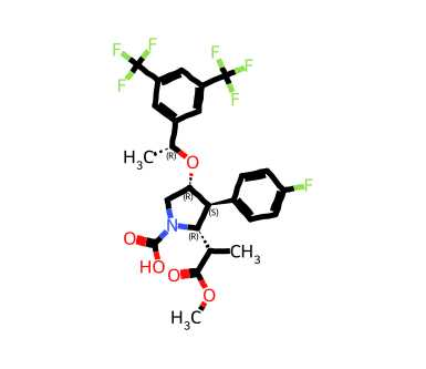 COC(=O)C(C)[C@H]1[C@H](c2ccc(F)cc2)[C@@H](O[C@H](C)c2cc(C(F)(F)F)cc(C(F)(F)F)c2)CN1C(=O)O